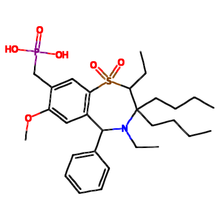 CCCCC1(CCCC)C(CC)S(=O)(=O)c2cc(CP(=O)(O)O)c(OC)cc2C(c2ccccc2)N1CC